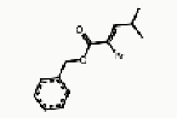 CC(C)C=C(Br)C(=O)OCc1ccccc1